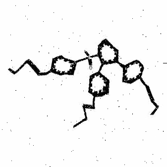 CCC=Cc1ccc(-c2cccc(P(=O)(I)c3ccc(C=CCC)cc3)c2-c2ccc(C=CCC)cc2)cc1